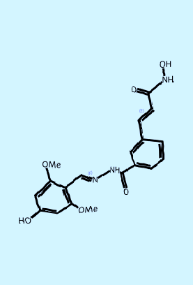 COc1cc(O)cc(OC)c1/C=N/NC(=O)c1cccc(/C=C/C(=O)NO)c1